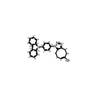 BrC1=CCCc2c(nnn2-c2ccc(-n3c4ccccc4c4ccccc43)cc2)CC1